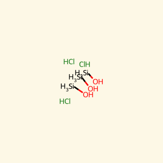 Cl.Cl.Cl.O[SiH3].O[SiH3].O[SiH3]